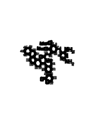 COc1cc(Cc2cnc(N)nc2N)cc(/C=C/C(=O)N2N=Cc3ccccc3C2C2CCc3ccc4c(ccc5ccccc54)c3C2)c1OC.O=c1cccco1